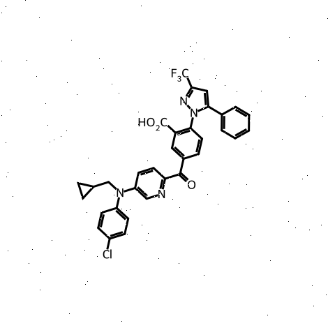 O=C(c1ccc(-n2nc(C(F)(F)F)cc2-c2ccccc2)c(C(=O)O)c1)c1ccc(N(CC2CC2)c2ccc(Cl)cc2)cn1